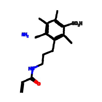 C=CC(=O)NCCCc1c(C)c(C)c(C)c(S(=O)(=O)O)c1C.N